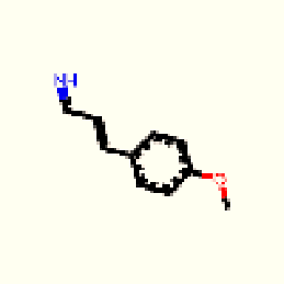 COc1ccc(C=CC=N)cc1